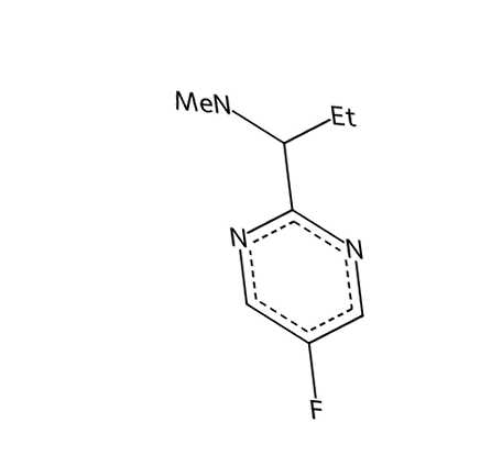 CCC(NC)c1ncc(F)cn1